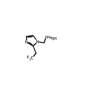 CCCCCCCCn1ccnc1CC(F)(F)F